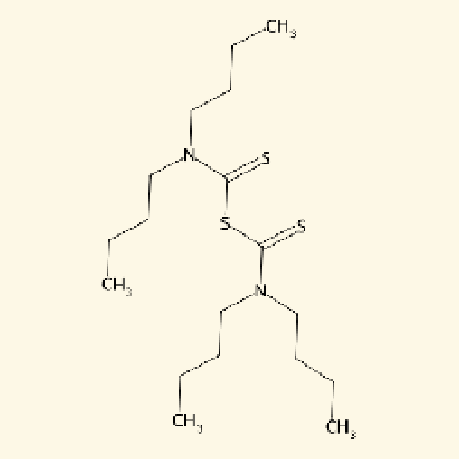 CCCCN(CCCC)C(=S)SC(=S)N(CCCC)CCCC